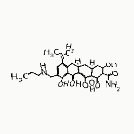 CCCNCc1cc(N(C)C)c2c(c1O)C(=O)C1=C(O)[C@]3(O)C(=O)C(C(N)=O)C(O)C[C@@H]3C[C@@H]1C2